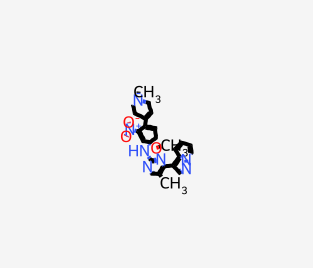 COC1(Nc2ncc(C)c(-c3cnn4ccccc34)n2)C=C([N+](=O)[O-])C(C2=CCN(C)CC2)=CC1